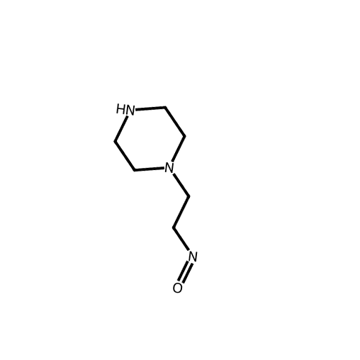 O=NCCN1CCNCC1